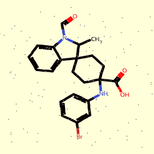 CC1N(C=O)c2ccccc2C12CCC(Nc1cccc(Br)c1)(C(=O)O)CC2